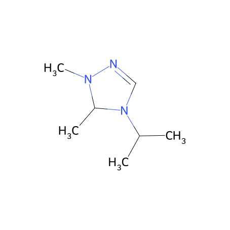 CC(C)N1C=NN(C)C1C